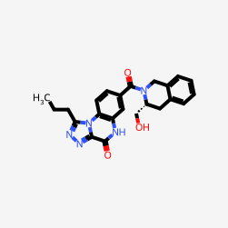 CCCc1nnc2c(=O)[nH]c3cc(C(=O)N4Cc5ccccc5C[C@@H]4CO)ccc3n12